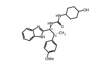 COc1ccc([C@@H](C)[C@H](NC(=O)NC2CCC(O)CC2)c2nc3ccccc3[nH]2)cc1